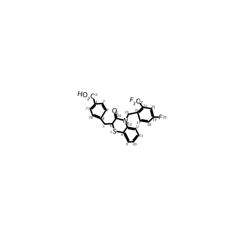 O=C(O)c1ccc(CC2Sc3ccccc3N(Cc3ccc(F)cc3C(F)(F)F)C2=O)cc1